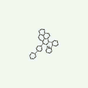 c1ccc(-c2ccc(-c3cc(-c4ccccc4-c4ccccn4)c4ccc5cccc6ccc3c4c65)cc2)cc1